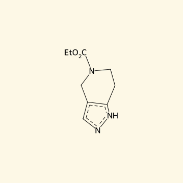 CCOC(=O)N1CCc2[nH]ncc2C1